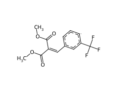 COC(=O)C(=Cc1cc[c]c(C(F)(F)F)c1)C(=O)OC